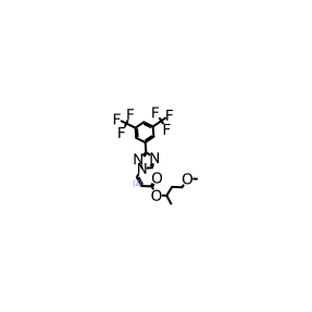 COCCC(C)OC(=O)/C=C\n1cnc(-c2cc(C(F)(F)F)cc(C(F)(F)F)c2)n1